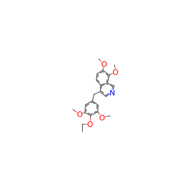 CCOc1c(OC)cc(Cc2cncc3c(OC)c(OC)ccc23)cc1OC